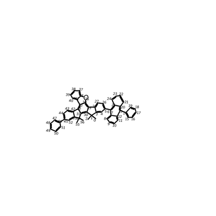 CC1(C)c2cc(-c3c4ccccc4c(-c4ccccc4)c4ccccc34)ccc2-c2c1c1c(c3c2oc2ccccc23)-c2ccc(-c3ccccc3)cc2C1(C)C